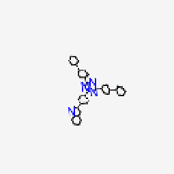 C1=CC(c2nc(-c3ccc(-c4ccccc4)cc3)nc(-c3ccc(-c4ccccc4)cc3)n2)CC=C1c1cnc2ccccc2c1